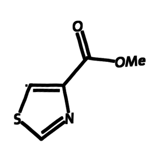 COC(=O)c1[c]scn1